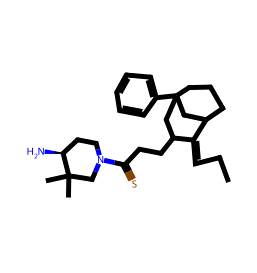 CC/C=C1\C2CCCC(c3ccccc3)(C2)CC1CCC(=S)N1CC[C@H](N)C(C)(C)C1